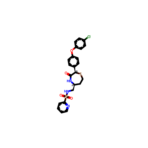 O=C1N[C@H](CNS(=O)(=O)c2ccccn2)CCS[C@@H]1c1ccc(Oc2ccc(Cl)cc2)cc1